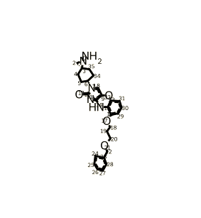 NN1C[C@]12CC[C@H](n1cc3c(nc1=O)Nc1c(OCCCOCc4ccccc4)cccc1O3)CC2